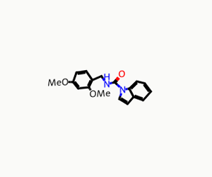 COc1ccc(CNC(=O)n2ccc3ccccc32)c(OC)c1